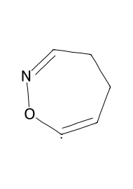 [C]1=CCCC=NO1